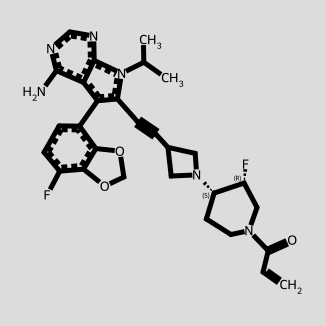 C=CC(=O)N1CC[C@H](N2CC(C#Cc3c(-c4ccc(F)c5c4OCO5)c4c(N)ncnc4n3C(C)C)C2)[C@H](F)C1